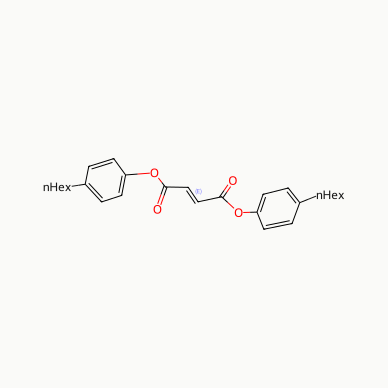 CCCCCCc1ccc(OC(=O)/C=C/C(=O)Oc2ccc(CCCCCC)cc2)cc1